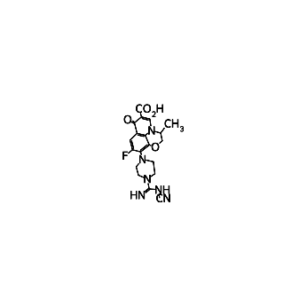 CC1COc2c(N3CCN(C(=N)NC#N)CC3)c(F)cc3c(=O)c(C(=O)O)cn1c23